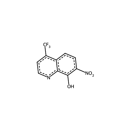 O=[N+]([O-])c1ccc2c(C(F)(F)F)ccnc2c1O